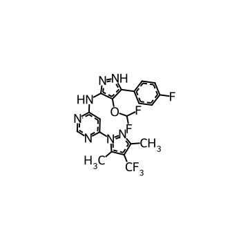 Cc1nn(-c2cc(Nc3n[nH]c(-c4ccc(F)cc4)c3OC(F)F)ncn2)c(C)c1C(F)(F)F